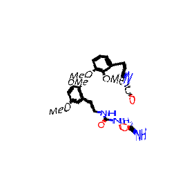 COc1ccc(OC)c(CCNC(N)=O)c1.COc1cccc(CCN=C=O)c1OC.N=C=O